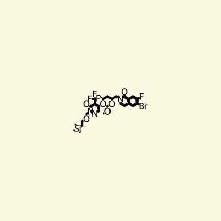 COCOC(C[C@H](C)Oc1cnn(COCC[Si](C)(C)C)c(=O)c1C(F)(F)F)Cn1ccc2cc(Br)c(F)cc2c1=O